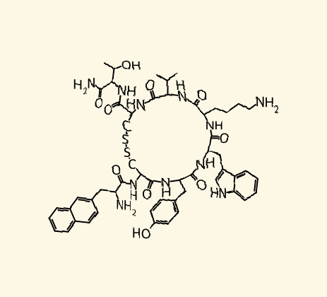 CC(C)C1NC(=O)C(CCCCN)NC(=O)[C@@H](Cc2c[nH]c3ccccc23)NC(=O)C(Cc2ccc(O)cc2)NC(=O)C(NC(=O)C(N)Cc2ccc3ccccc3c2)CSSCC(C(=O)NC(C(N)=O)C(C)O)NC1=O